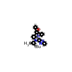 Cc1cc(N2c3cc4nc5ccccc5nc4cc3B3c4c(cccc42)-c2cc4c5ccccc5oc4c4c5ccccc5n3c24)cc(C(C)(C)C)c1